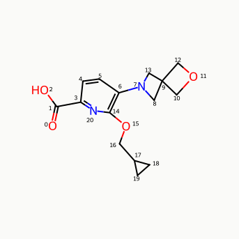 O=C(O)c1ccc(N2CC3(COC3)C2)c(OCC2CC2)n1